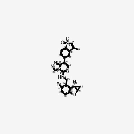 CC1=CS(=O)(=O)c2ccc(-c3cnc(NCc4c(F)ccc5c4[C@H]4CC4O5)n4cnnc34)cc21